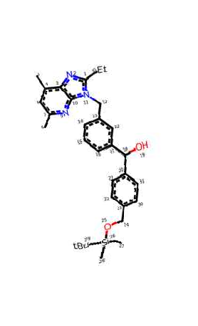 CCc1nc2c(C)cc(C)nc2n1Cc1cccc(C(O)c2ccc(CO[Si](C)(C)C(C)(C)C)cc2)c1